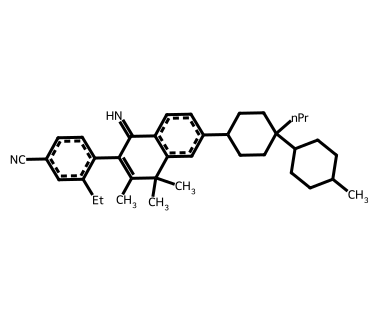 CCCC1(C2CCC(C)CC2)CCC(c2ccc3c(c2)C(C)(C)C(C)=C(c2ccc(C#N)cc2CC)C3=N)CC1